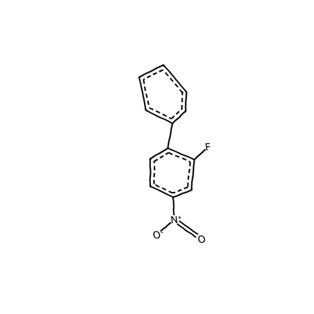 O=[N+]([O-])c1ccc(-c2ccccc2)c(F)c1